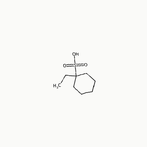 CCC1(S(=O)(=O)O)CCCCC1